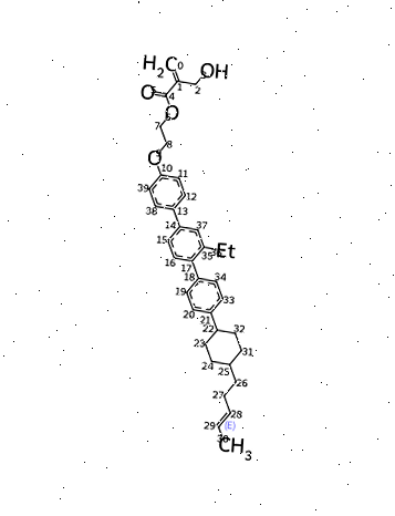 C=C(CO)C(=O)OCCOc1ccc(-c2ccc(-c3ccc(C4CCC(CC/C=C/C)CC4)cc3)c(CC)c2)cc1